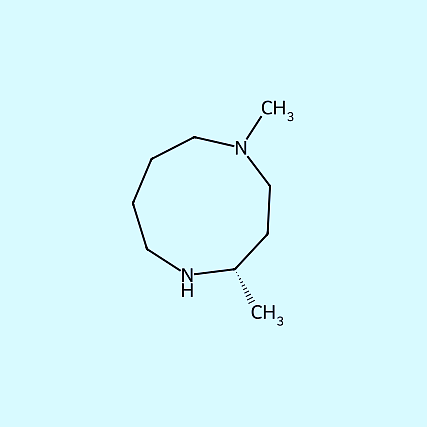 C[C@H]1CCN(C)CCCCN1